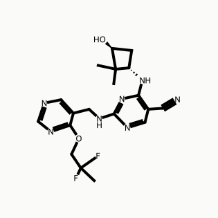 CC(F)(F)COc1ncncc1CNc1ncc(C#N)c(N[C@H]2C[C@H](O)C2(C)C)n1